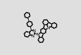 c1ccc(-c2ccc(-c3nc(-n4c5ccccc5c5cc6c(cc54)c4cccc5c7ccccc7n6c54)nc4ccccc34)cc2)cc1